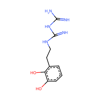 N=C(N)NC(=N)NCCc1cccc(O)c1O